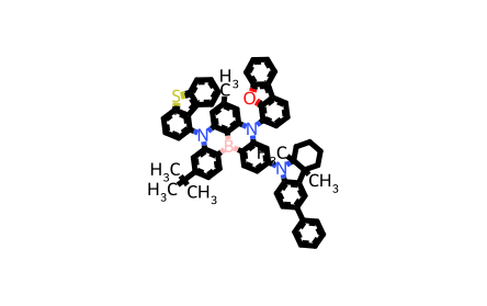 Cc1cc2c3c(c1)N(c1cccc4sc5ccccc5c14)c1cc(C(C)(C)C)ccc1B3c1ccc(N3c4ccc(-c5ccccc5)cc4C4(C)CCCCC34C)cc1N2c1cccc2c1oc1ccccc12